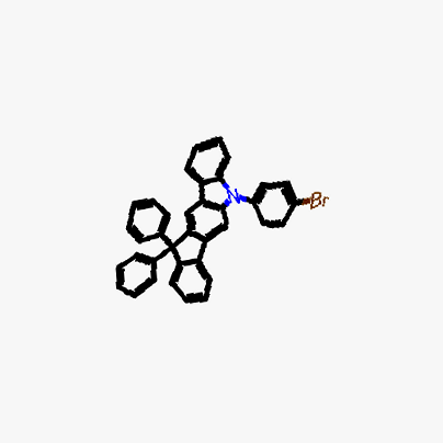 Brc1ccc(-n2c3ccccc3c3cc4c(cc32)-c2ccccc2C4(c2ccccc2)c2ccccc2)cc1